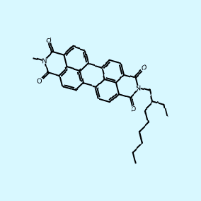 CCCCCCC(CC)CN1C(=O)c2ccc3c4ccc5c6c(ccc(c7ccc(c2c37)C1=O)c64)C(=O)N(C)C5=O